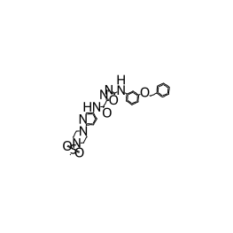 CS(=O)(=O)N1CCN(c2ccc(NC(=O)c3nnc(Nc4cccc(OCc5ccccc5)c4)o3)cn2)CC1